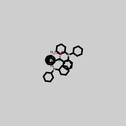 CN(C)[C@H](c1ccccc1P(C1CCCCC1)C1CCCCC1)[C]12[CH]3[CH]4[CH]5[C@@]1(P(C1CCCCC1)C1CCCCC1)[Fe]43521678[CH]2[CH]1[CH]6[CH]7[CH]28